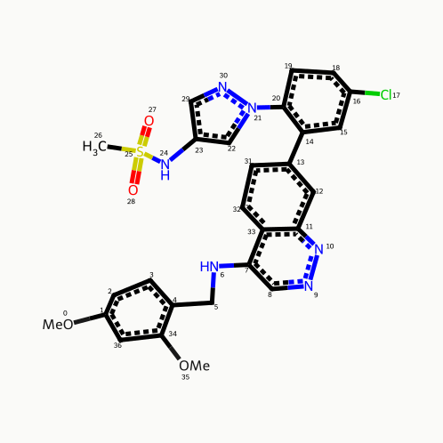 COc1ccc(CNc2cnnc3cc(-c4cc(Cl)ccc4-n4cc(NS(C)(=O)=O)cn4)ccc23)c(OC)c1